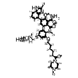 CNC.COc1c(-c2cccc3[nH]c(C)nc23)ccc(C(=O)N(C)c2ccc(C)cc2OCCCCCC(=O)N2CCN(C)CC2)c1C(N)=O.Cl.Cl.Cl